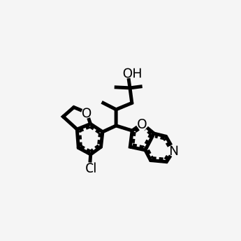 CC(CC(C)(C)O)C(c1cc2ccncc2o1)c1cc(Cl)cc2c1OCC2